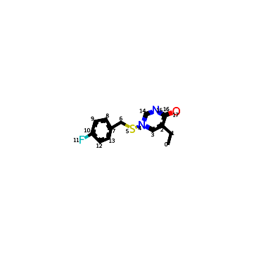 CCc1cn(SCc2ccc(F)cc2)cnc1=O